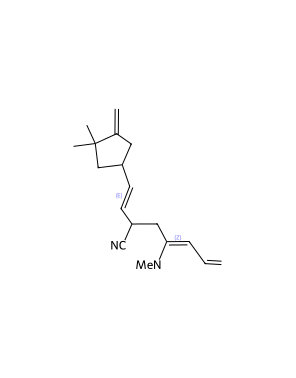 C=C/C=C(/CC(C#N)/C=C/C1CC(=C)C(C)(C)C1)NC